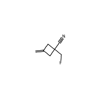 C=C1CC(C#N)(CF)C1